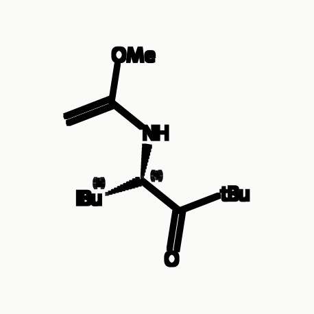 C=C(N[C@H](C(=O)C(C)(C)C)[C@@H](C)CC)OC